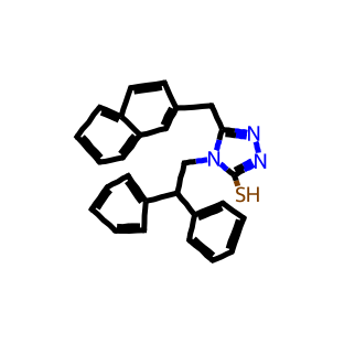 Sc1nnc(Cc2ccc3ccccc3c2)n1CC(c1ccccc1)c1ccccc1